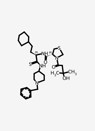 CC(C)(O)CC(=O)N1CSC[C@H]1C(=O)N[C@H](CCC1CCCCC1)C(=S)NC1CCN(Cc2ccccc2)CC1